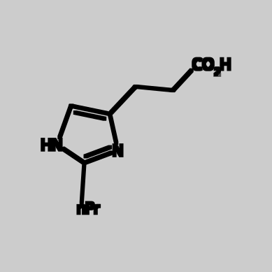 CCCc1nc(CCC(=O)O)c[nH]1